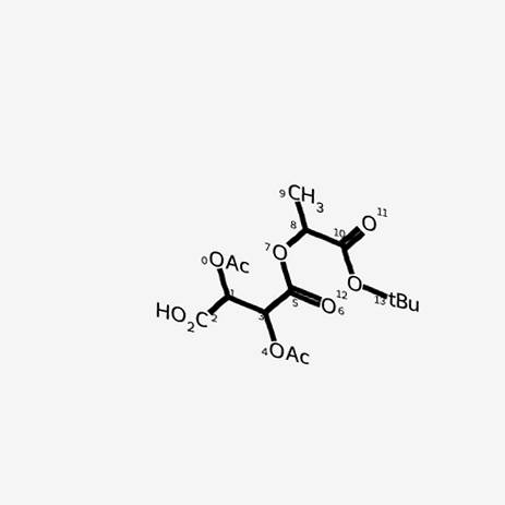 CC(=O)OC(C(=O)O)C(OC(C)=O)C(=O)OC(C)C(=O)OC(C)(C)C